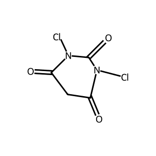 O=C1CC(=O)N(Cl)C(=O)N1Cl